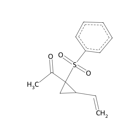 C=CC1CC1(C(C)=O)S(=O)(=O)c1ccccc1